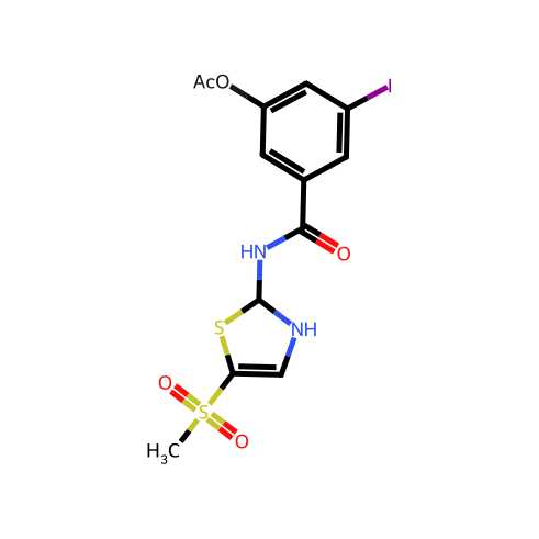 CC(=O)Oc1cc(I)cc(C(=O)NC2NC=C(S(C)(=O)=O)S2)c1